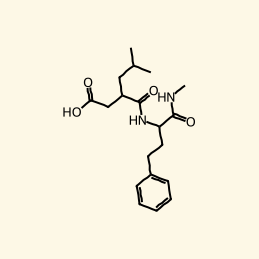 CNC(=O)C(CCc1ccccc1)NC(=O)C(CC(=O)O)CC(C)C